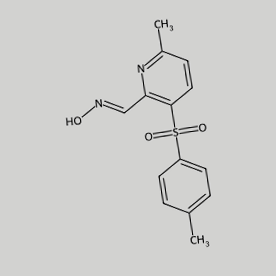 Cc1ccc(S(=O)(=O)c2ccc(C)nc2C=NO)cc1